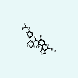 C[C@@H]1COC[C@H](c2ccc(OC(F)F)nn2)N1C(=O)c1cc2c3c(c(N)nc2cc1F)COC3